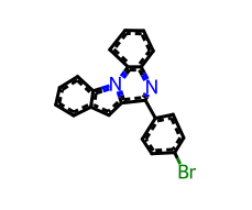 Brc1ccc(-c2nc3ccccc3n3c2cc2ccccc23)cc1